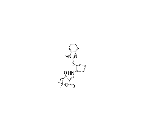 CC1(C)OC(=O)C(=CNc2ccccc2Sc2nc3ccccc3[nH]2)C(=O)O1